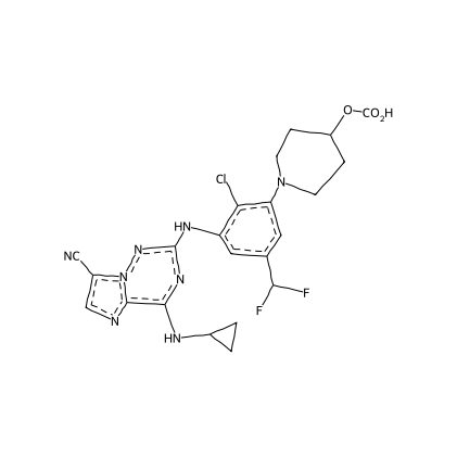 N#Cc1cnc2c(NC3CC3)nc(Nc3cc(C(F)F)cc(N4CCC(OC(=O)O)CC4)c3Cl)nn12